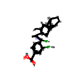 C/C(=C(/F)c1ccc(C(=O)O)cc1F)c1cc2c(cc1C)C1CCC2C1